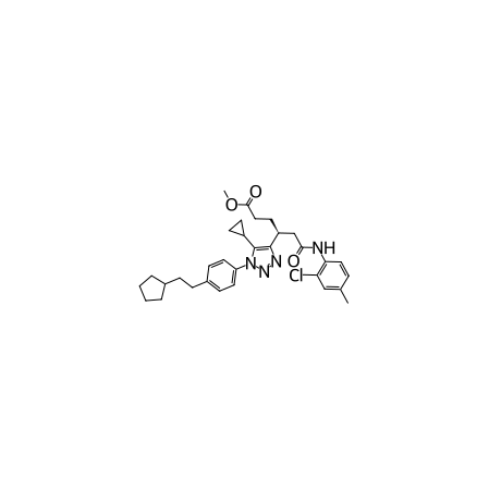 COC(=O)CC[C@@H](CC(=O)Nc1ccc(C)cc1Cl)c1nnn(-c2ccc(CCC3CCCC3)cc2)c1C1CC1